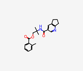 Cc1ccccc1C(=O)OCC(C)(C)NC(=O)c1cnc2c(c1)CCC2